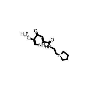 O=C(NCCN1CCCC1)c1cc(=O)c(OP)c[nH]1